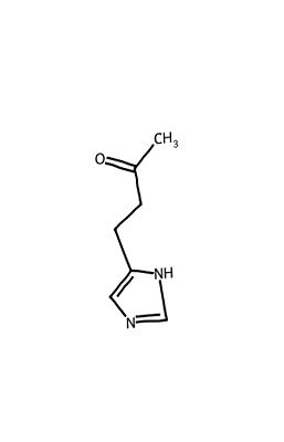 CC(=O)CCc1cnc[nH]1